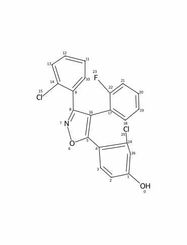 Oc1ccc(-c2onc(-c3ccccc3Cl)c2-c2ccccc2F)c(Cl)c1